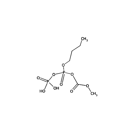 CCCCOP(=O)(OC(=O)OC)OP(=O)(O)O